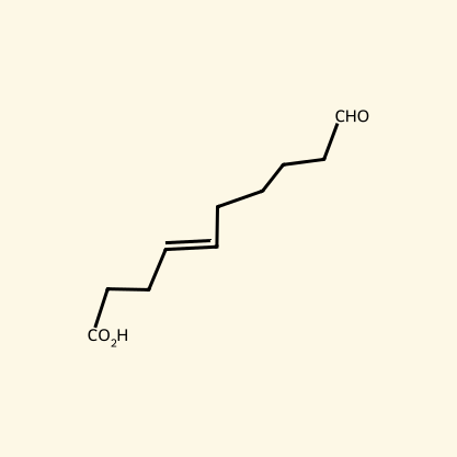 O=CCCCCC=CCCC(=O)O